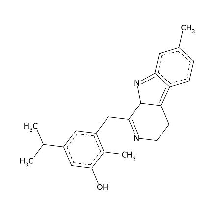 Cc1ccc2c(c1)=NC1C(Cc3cc(C(C)C)cc(O)c3C)=NCCC=21